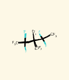 FC(F)(F)C(F)(F)C(C(F)(F)F)(C(F)(F)F)C(F)(F)C(F)(F)F